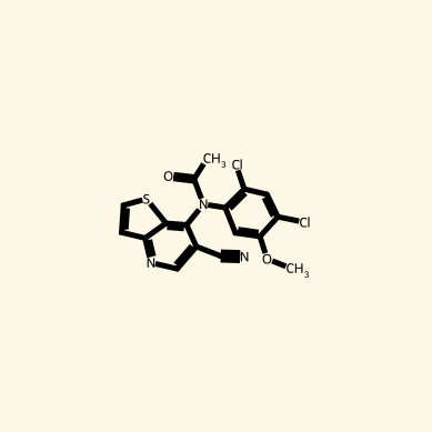 COc1cc(N(C(C)=O)c2c(C#N)cnc3ccsc23)c(Cl)cc1Cl